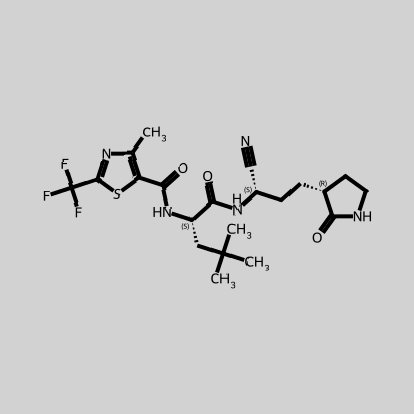 Cc1nc(C(F)(F)F)sc1C(=O)N[C@@H](CC(C)(C)C)C(=O)N[C@H](C#N)CC[C@@H]1CCNC1=O